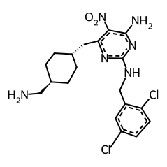 NC[C@H]1CC[C@H](Cc2nc(NCc3cc(Cl)ccc3Cl)nc(N)c2[N+](=O)[O-])CC1